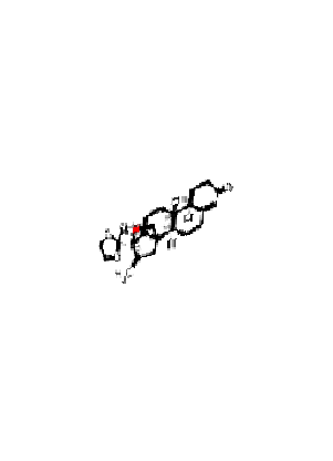 C=C1CC23CC[C@@]1(C1(C)OCCO1)[C@@]2(C)CC[C@H]1[C@H]3CCC2=CC(=O)CC[C@@H]21